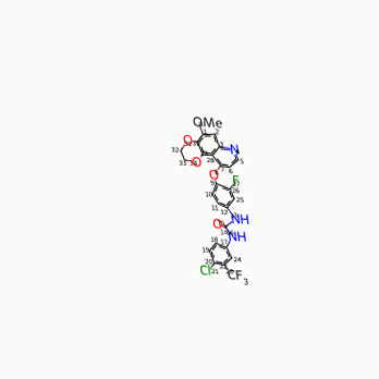 COc1cc2nccc(Oc3ccc(NC(=O)Nc4ccc(Cl)c(C(F)(F)F)c4)cc3F)c2c2c1OCCO2